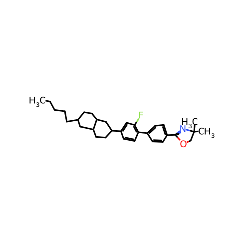 CCCCCC1CCC2CC(c3ccc(-c4ccc(C5=NC(C)(C)CO5)cc4)c(F)c3)CCC2C1